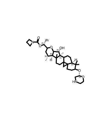 CC(C)[C@@H](OC(=O)N1CCC1)C1C[C@@H](C)[C@H]2C(O1)[C@H](O)[C@@]1(C)C3CC[C@H]4C(C)(C)C(O[C@H]5CNCCO5)CCC45CC35CCC21C